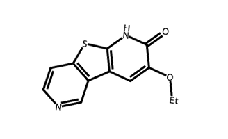 CCOc1cc2c([nH]c1=O)sc1ccncc12